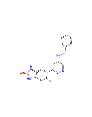 Cc1cc2[nH]c(=O)[nH]c2cc1-c1cncc(NCc2ccccc2)c1